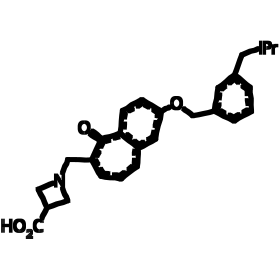 CC(C)Cc1cccc(COc2ccc3c(=O)c(CN4CC(C(=O)O)C4)cccc3c2)c1